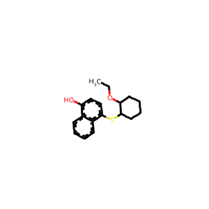 CCOC1CCCCC1Sc1ccc(O)c2ccccc12